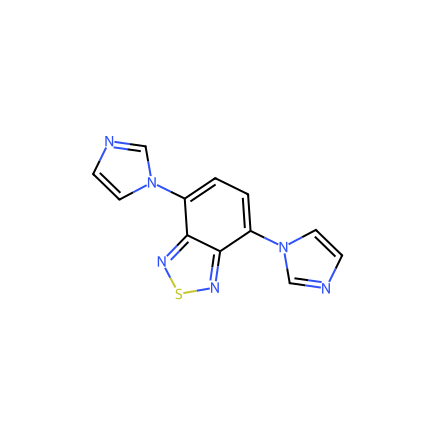 c1cn(-c2ccc(-n3ccnc3)c3nsnc23)cn1